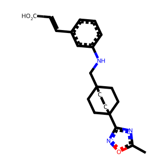 Cc1nc(C23CCC(CNc4cccc(/C=C/C(=O)O)c4)(CC2)CC3)no1